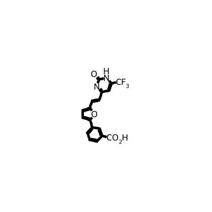 O=C(O)c1cccc(-c2ccc(C=Cc3cc(C(F)(F)F)[nH]c(=O)n3)o2)c1